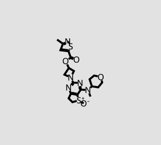 Cc1cc(C(=O)OC2CN(c3nc4c(c(N(C)C5CCOCC5)n3)[S+]([O-])CC4)C2)sn1